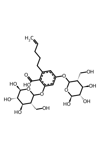 C=CCCCc1cc(OC2O[C@H](O)[C@@H](O)[C@H](O)[C@H]2CO)cc(OC2O[C@H](O)[C@@H](O)[C@H](O)[C@H]2CO)c1C(=O)O